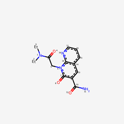 CCN(CC)C(=O)Cn1c(=O)c(C(N)=O)cc2cccnc21